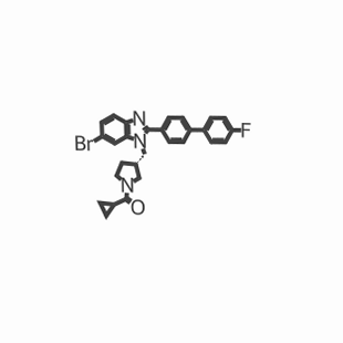 O=C(C1CC1)N1CC[C@H](Cn2c(-c3ccc(-c4ccc(F)cc4)cc3)nc3ccc(Br)cc32)C1